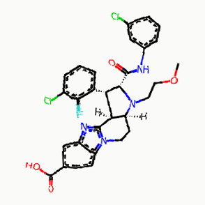 COCCN1[C@H]2CCn3c(nc4cc(C(=O)O)ccc43)[C@H]2[C@H](c2cccc(Cl)c2F)[C@@H]1C(=O)Nc1cccc(Cl)c1